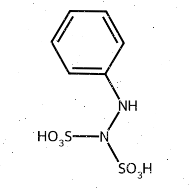 O=S(=O)(O)N(Nc1ccccc1)S(=O)(=O)O